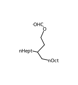 CCCCCCCCCC(CCCCCCC)CCO[C]=O